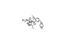 CCCc1nn(C)c(C(N)=O)c1NC(=O)c1cc(CN2CCN(C)CC2)ccc1OCC